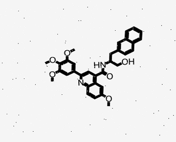 COc1ccc2nc(-c3cc(OC)c(OC)c(OC)c3)cc(C(=O)NC(CO)Cc3ccc4ccccc4c3)c2c1